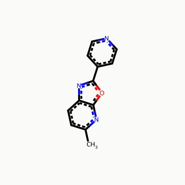 Cc1ccc2nc(-c3ccncc3)oc2n1